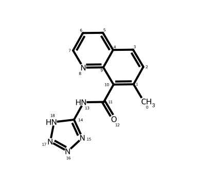 Cc1ccc2cccnc2c1C(=O)Nc1nnn[nH]1